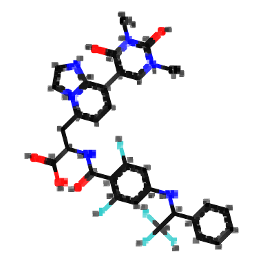 Cn1cc(-c2ccc(CC(NC(=O)c3c(F)cc(NC(c4ccccc4)C(F)(F)F)cc3F)C(=O)O)n3ccnc23)c(=O)n(C)c1=O